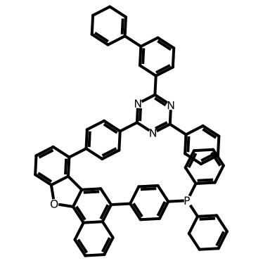 C1=CCCC(P(c2ccccc2)c2ccc(-c3cc4c(oc5cccc(-c6ccc(-c7nc(-c8ccccc8)nc(-c8cccc(C9=CCCC=C9)c8)n7)cc6)c54)c4ccccc34)cc2)=C1